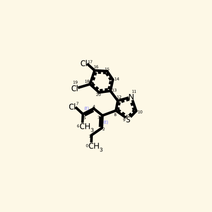 CC/C=C(\C=C(/C)Cl)c1scnc1-c1ccc(Cl)c(Cl)c1